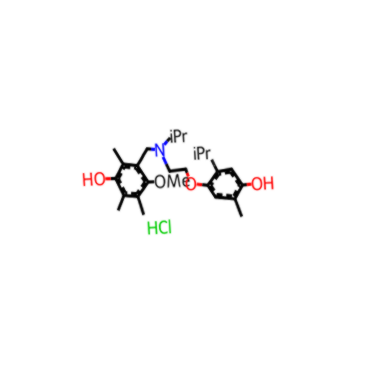 COc1c(C)c(C)c(O)c(C)c1CN(CCOc1cc(C)c(O)cc1C(C)C)C(C)C.Cl